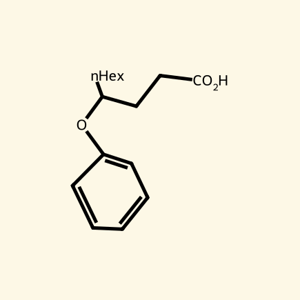 CCCCCCC(CCC(=O)O)Oc1ccccc1